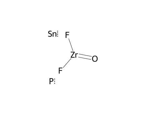 [O]=[Zr]([F])[F].[P].[Sn]